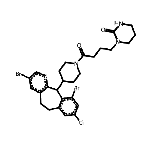 O=C(CCCN1CCCNC1=O)N1CCC(C2c3ncc(Br)cc3CCc3cc(Cl)cc(Br)c32)CC1